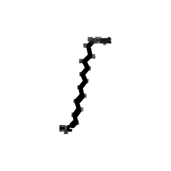 C=C/C=C/C=C/CCCCCCCCCCCCCC